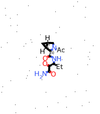 CCC(NC(=O)[C@@H]1[C@H]2C[C@H]2CN1C(C)=O)C(=O)C(N)=O